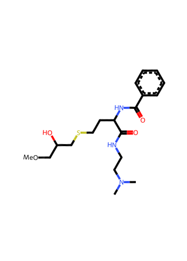 COCC(O)CSCCC(NC(=O)c1ccccc1)C(=O)NCCN(C)C